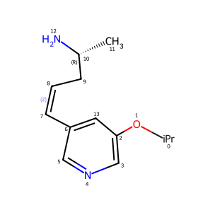 CC(C)Oc1cncc(/C=C\C[C@@H](C)N)c1